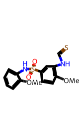 COc1ccc(S(=O)(=O)Nc2ccccc2OC)cc1NC=S